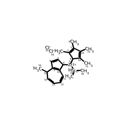 CC1=C(C)[CH]([Zr+2]([CH]2C=CC3=C2C=CC=CC3C)[SiH](C)C)C(C)=C1C.[Cl-].[Cl-]